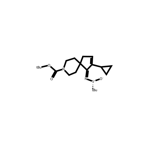 CC(C)(C)OC(=O)N1CCC2(CC=C(C3CC3)/C2=N\[S@+]([O-])C(C)(C)C)CC1